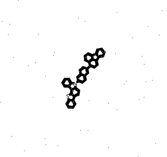 c1ccc2c(c1)-c1cccc3c(-c4ccc5cc(-n6c7ccccc7c7c8sc9ccccc9c8ccc76)ccc5c4)ccc-2c13